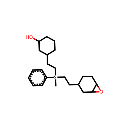 C[Si](CCC1CCCC(O)C1)(CCC1CCC2OC2C1)c1ccccc1